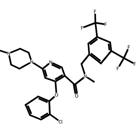 CN1CCN(c2cc(Oc3ccccc3Cl)c(C(=O)N(C)Cc3cc(C(F)(F)F)cc(C(F)(F)F)c3)cn2)CC1